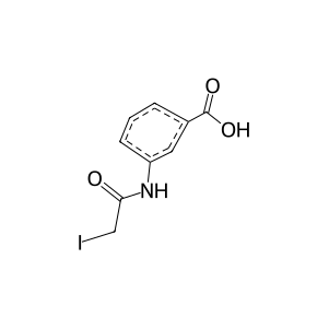 O=C(CI)Nc1cccc(C(=O)O)c1